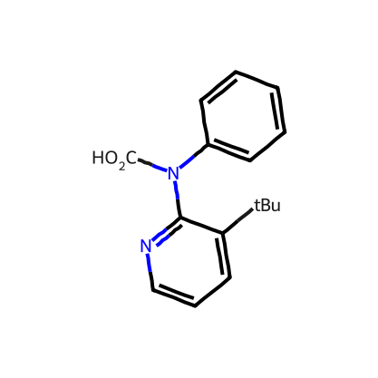 CC(C)(C)c1cccnc1N(C(=O)O)c1ccccc1